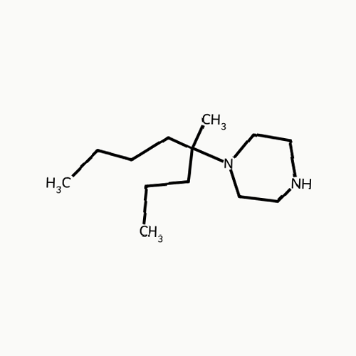 CCCCC(C)(CCC)N1CCNCC1